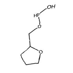 OPOCC1CCCO1